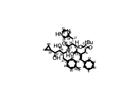 CC(C)(C)S(=O)(=O)CC(=Cc1ccccc1)C(=O)N[C@@H](Cc1c[nH]cn1)C(=O)N[C@@H](Cc1ccc(F)cc1)[C@@H](O)[C@@H](O)C1CC1